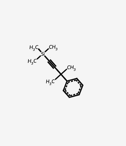 CC(C)(C#C[Si](C)(C)C)c1ccccc1